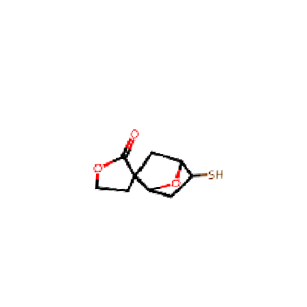 O=C1OCCC12CC1OC2CC1S